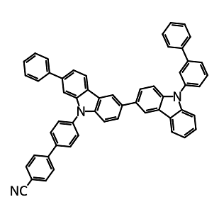 N#Cc1ccc(-c2ccc(-n3c4ccc(-c5ccc6c(c5)c5ccccc5n6-c5cccc(-c6ccccc6)c5)cc4c4ccc(-c5ccccc5)cc43)cc2)cc1